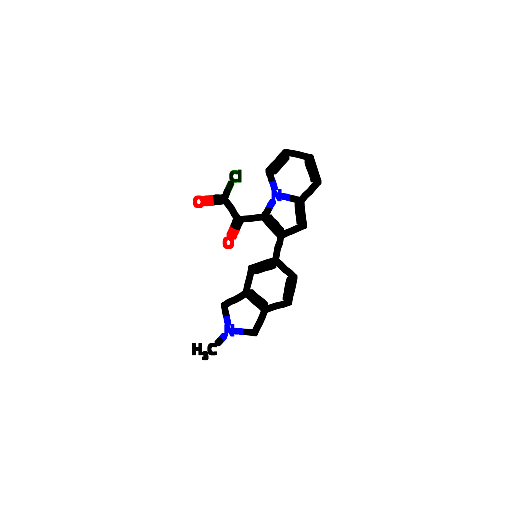 CN1Cc2ccc(-c3cc4ccccn4c3C(=O)C(=O)Cl)cc2C1